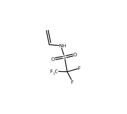 C=CNS(=O)(=O)C(F)(F)C(F)(F)F